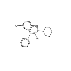 CC(=O)c1c(N2CCCCC2)nc2ccc(Cl)cc2c1-c1ccccc1